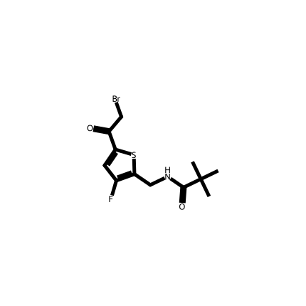 CC(C)(C)C(=O)NCc1sc(C(=O)CBr)cc1F